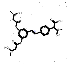 C[C@@H](O)CC(=O)Oc1cc(/C=C/c2ccc(C(C(=O)O)[C@@H](C)O)cc2)cc(OC(=O)C[C@@H](C)O)c1